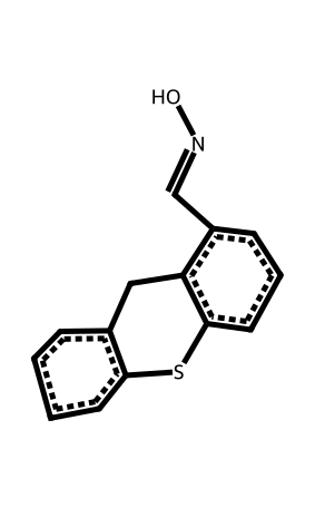 ON=Cc1cccc2c1Cc1ccccc1S2